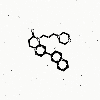 O=C1CCc2ccc(-c3ccc4ccccc4c3)cc2N1CCCN1CCOCC1